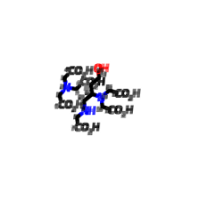 O=C(O)CN(CC(=O)O)CC(=O)O.O=C(O)CNCC(CCO)N(CC(=O)O)CC(=O)O